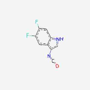 O=C=Nc1c[nH]c2cc(F)c(F)cc12